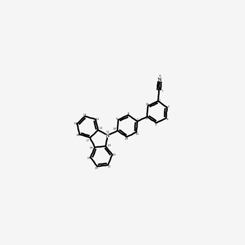 N#Cc1cccc(-c2ccc(-n3c4ccccc4c4ccccc43)cc2)c1